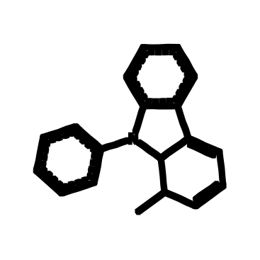 CC1C=CC=C2c3ccccc3N(c3ccccc3)C21